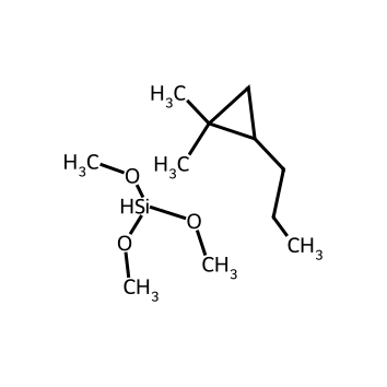 CCCC1CC1(C)C.CO[SiH](OC)OC